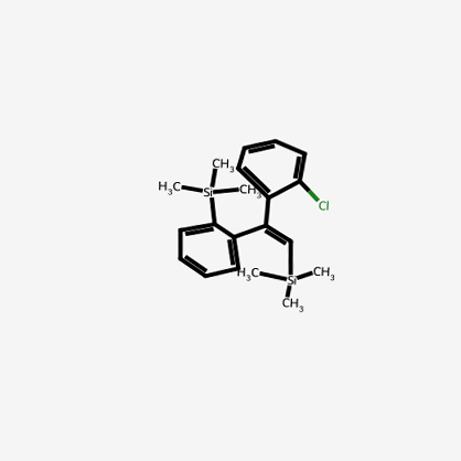 C[Si](C)(C)C=C(c1ccccc1Cl)c1ccccc1[Si](C)(C)C